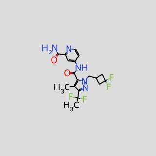 Cc1c(C(C)(F)F)nn(CC2CC(F)(F)C2)c1C(=O)Nc1ccnc(C(N)=O)c1